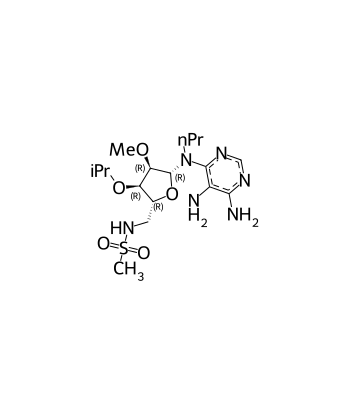 CCCN(c1ncnc(N)c1N)[C@@H]1O[C@H](CNS(C)(=O)=O)[C@@H](OC(C)C)[C@H]1OC